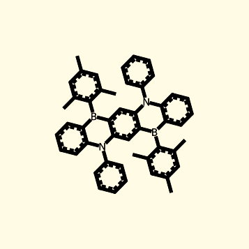 Cc1cc(C)c(B2c3ccccc3N(c3ccccc3)c3cc4c(cc32)N(c2ccccc2)c2ccccc2B4c2c(C)cc(C)cc2C)c(C)c1